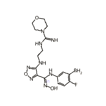 Bc1cc(N/C(=N\O)c2nonc2NCCNC(=N)N2CCOCC2)ccc1F